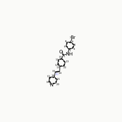 O=C(Nc1ccc(Br)cc1)c1ccc(/C=C/c2ccncc2)cc1